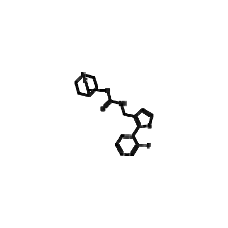 O=C(NCc1ccsc1-c1ccccc1F)OC1CN2CCC1CC2